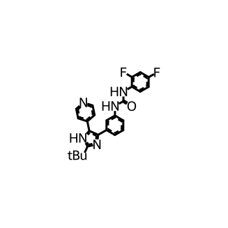 CC(C)(C)c1nc(-c2cccc(NC(=O)Nc3ccc(F)cc3F)c2)c(-c2ccncc2)[nH]1